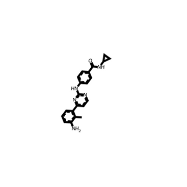 Cc1c(N)cccc1-c1ccnc(Nc2ccc(C(=O)NC3CC3)cc2)n1